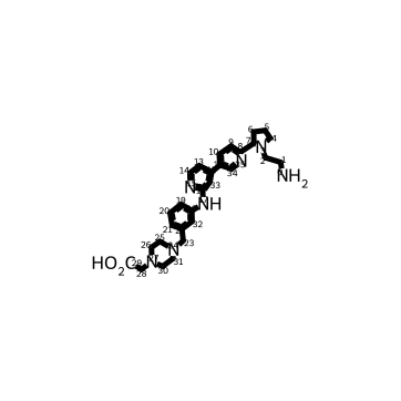 NCCN1CCCC1c1ccc(-c2ccnc(Nc3cccc(CN4CCN(CC(=O)O)CC4)c3)c2)cn1